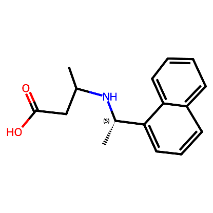 CC(CC(=O)O)N[C@@H](C)c1cccc2ccccc12